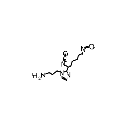 NCCCn1ccnc1C(CCCCCN=C=O)N=C=O